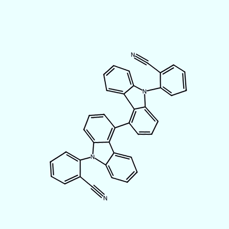 N#Cc1ccccc1-n1c2ccccc2c2c(-c3cccc4c3c3ccccc3n4-c3ccccc3C#N)cccc21